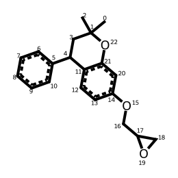 CC1(C)CC(c2ccccc2)c2ccc(OCC3CO3)cc2O1